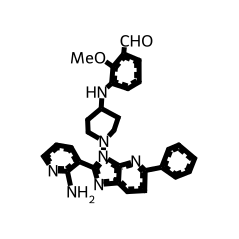 COc1c(C=O)cccc1NC1CCN(n2c(-c3cccnc3N)nc3ccc(-c4ccccc4)nc32)CC1